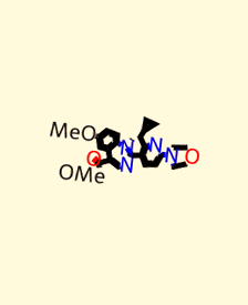 COC(=O)C1=CN=C(c2ccc(N3CCOCC3)nc2CC2CC2)N(C)c2ccc(OC)cc21